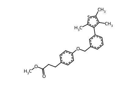 COC(=O)CCc1ccc(OCc2cccc(-c3c(C)sc(C)c3C)c2)cc1